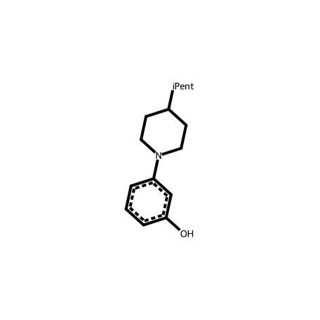 CCCC(C)C1CCN(c2cccc(O)c2)CC1